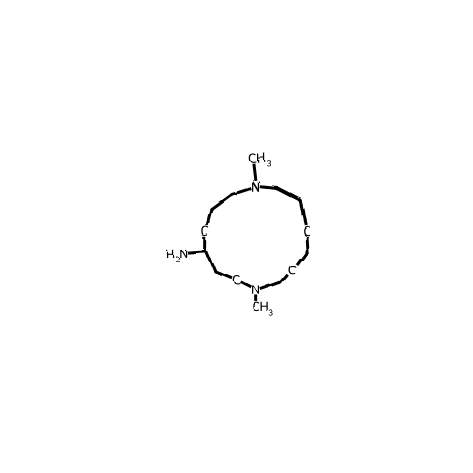 CN1CCCCCCN(C)CCC(N)CCC1